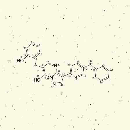 Oc1ccccc1Cc1cnc2c(-c3ccc(Sc4ccccc4)cc3)cnn2c1O